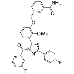 COc1c(OCc2cccc(C(N)=O)c2)cccc1C1SC(c2ccc(F)cc2)=NN1C(=O)c1cccc(F)c1